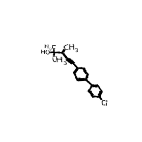 CC(C#Cc1ccc(-c2ccc(Cl)cc2)cc1)C(C)(C)O